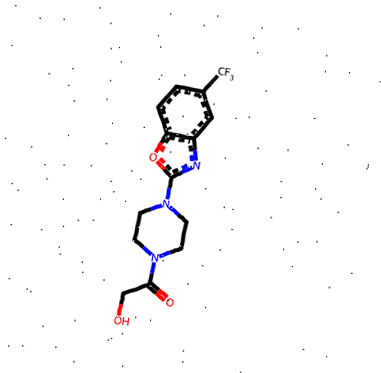 O=C(CO)N1CCN(c2nc3cc(C(F)(F)F)ccc3o2)CC1